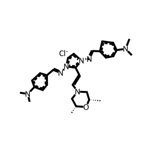 C[C@@H]1CN(C=Cc2n(N=Cc3ccc(N(C)C)cc3)cc[n+]2N=Cc2ccc(N(C)C)cc2)C[C@H](C)O1.[Cl-]